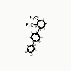 FC(F)(F)c1cccc(-c2ccc(-c3cccs3)cc2)c1C(F)(F)F